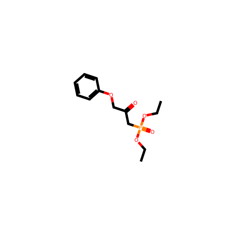 CCOP(=O)(CC(=O)COc1ccccc1)OCC